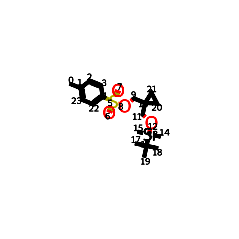 Cc1ccc(S(=O)(=O)OCC2(CO[Si](C)(C)C(C)(C)C)CC2)cc1